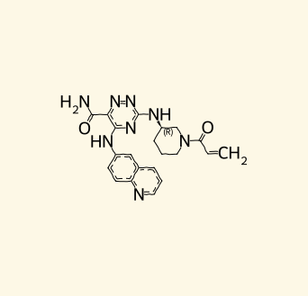 C=CC(=O)N1CCC[C@@H](Nc2nnc(C(N)=O)c(Nc3ccc4ncccc4c3)n2)C1